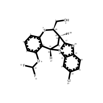 OC[C@@H]1Sc2cccc(OC(F)F)c2[C@@H]2C[C@@H]1c1nc3ccc(Cl)cc3n12